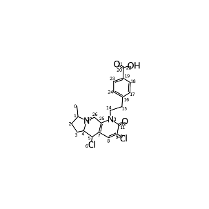 CC1CCC2C(Cl)c3cc(Cl)c(=O)n(CCc4ccc(C(=O)O)cc4)c3CN12